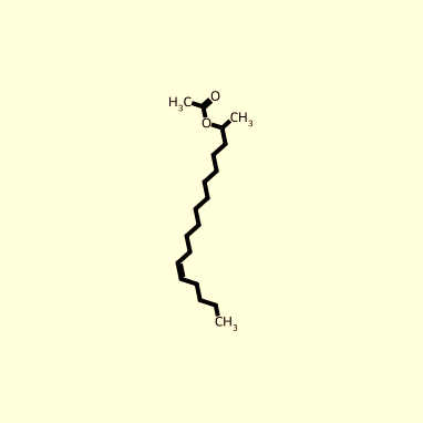 CCCC/C=C\CCCCCCCCCC(C)OC(C)=O